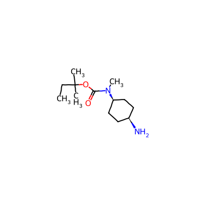 CCC(C)(C)OC(=O)N(C)[C@H]1CC[C@@H](N)CC1